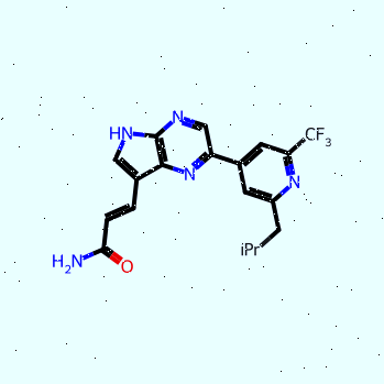 CC(C)Cc1cc(-c2cnc3[nH]cc(/C=C/C(N)=O)c3n2)cc(C(F)(F)F)n1